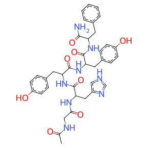 CC(=O)NCC(=O)NC(Cc1c[nH]cn1)C(=O)NC(Cc1ccc(O)cc1)C(=O)NC(Cc1ccc(O)cc1)C(=O)NC(Cc1ccccc1)C(N)=O